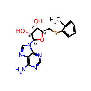 Cc1ccccc1SC[C@H]1O[C@@H](n2cnc3c(N)ncnc32)[C@H](O)[C@@H]1O